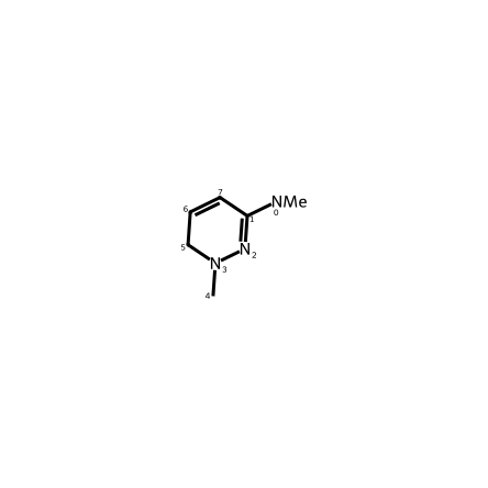 CNC1=NN(C)CC=C1